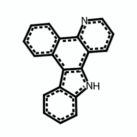 c1ccc2c(c1)[nH]c1c3cccnc3c3ccccc3c21